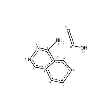 Nc1nncc2ccccc12.O=CO